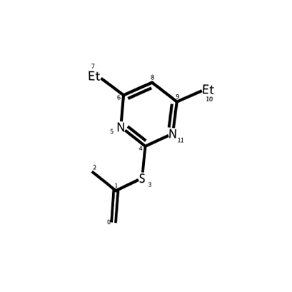 C=C(C)Sc1nc(CC)cc(CC)n1